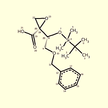 CC(C)(C)[Si](C)(C)O[C@H](COCc1ccccc1)[C@@]1(C(=O)O)CO1